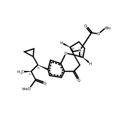 COC(=O)[C@@H](C)[C@H](c1ccc2c(c1)OC1(CC2=O)[C@H]2CC[C@H]1CN(C(=O)OC(C)(C)C)C2)C1CC1